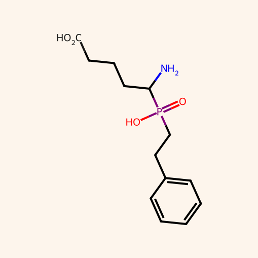 NC(CCCC(=O)O)P(=O)(O)CCc1ccccc1